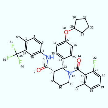 Cc1ccc(NC(=O)[C@H]2CCCN(C(=O)c3c(C)cccc3F)[C@H]2c2ccc(OC3CCCC3)cc2)cc1C(F)(F)F